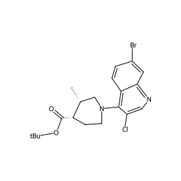 C[C@@H]1CN(c2c(Cl)cnc3cc(Br)ccc23)CC[C@@H]1C(=O)OC(C)(C)C